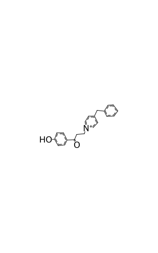 O=C(CC[n+]1ccc(Cc2ccccc2)cc1)c1ccc(O)cc1